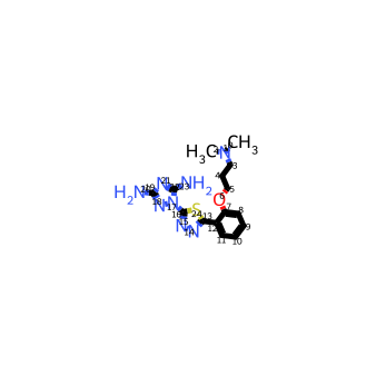 CN(C)CCCOc1ccccc1-c1nnc(-n2nc(N)nc2N)s1